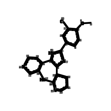 COc1ccc(-c2nc3c([nH]2)-c2ccncc2Nc2ncccc2-3)cc1Cl